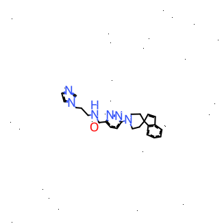 O=C(NCCCn1ccnc1)c1ccc(N2CCC3(C=Cc4ccccc43)CC2)nn1